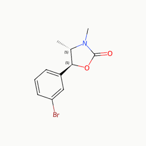 C[C@H]1[C@H](c2cccc(Br)c2)OC(=O)N1C